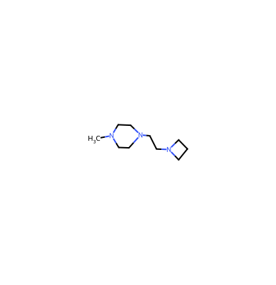 CN1CCN(CCN2CCC2)CC1